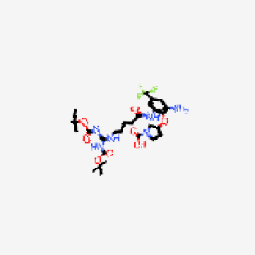 CC(C)(C)OC(=O)N=C(NCCCCC(=O)Nc1cc(C(F)(F)F)cc(N)c1OC1CCN(C(=O)O)C1)NC(=O)OC(C)(C)C